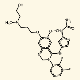 COc1cc2c(cc1OCCCN(C)CCO)=NCN(c1cccc(F)c1F)C=2Nc1cnn(CC(N)=O)c1